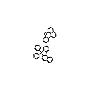 c1ccc(C2(c3ccccc3)c3cc(-c4ccc5c(c4)-c4cccc6cccc(c46)O5)ccc3-c3c2ccc2ccccc32)cc1